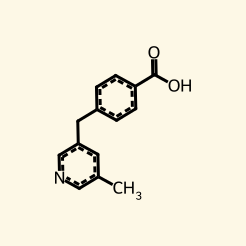 Cc1cncc(Cc2ccc(C(=O)O)cc2)c1